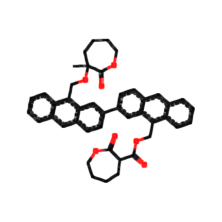 CC1(OCc2c3ccccc3cc3ccc(-c4ccc5cc6ccccc6c(COC(=O)C6CCCCOC6=O)c5c4)cc23)CCCCOC1=O